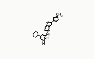 Cn1cc(-c2cnc3ccc(NC4=CC(C5CCCCC5)=CNN4)nc3c2)cn1